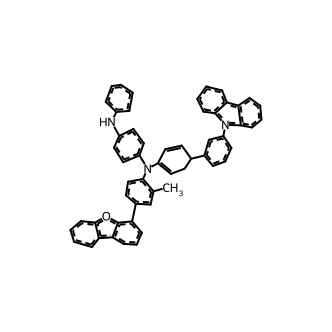 Cc1cc(-c2cccc3c2oc2ccccc23)ccc1N(C1=CCC(c2cccc(-n3c4ccccc4c4ccccc43)c2)C=C1)c1ccc(Nc2ccccc2)cc1